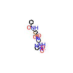 O=C(NCc1ccc(S(=O)(=O)N2CCC(Nc3ncccc3[N+](=O)[O-])CC2)s1)c1ccccc1